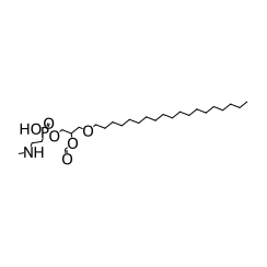 CCCCCCCCCCCCCCCCCCCOCC(COP(=O)(O)CCNC)OC=O